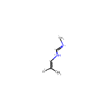 CCC(C)=CNC=NC